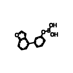 OB(O)Oc1cccc(-c2cccc3occc23)c1